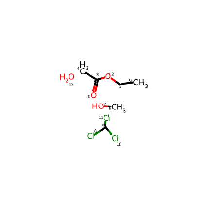 CCOC(C)=O.CO.ClC(Cl)Cl.O